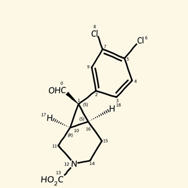 O=C[C@]1(c2ccc(Cl)c(Cl)c2)[C@@H]2CN(C(=O)O)CC[C@@H]21